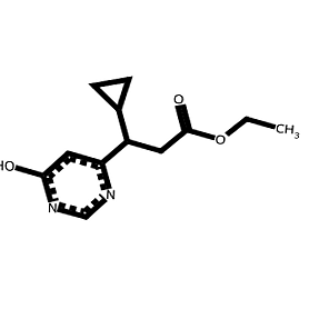 CCOC(=O)CC(c1cc(O)ncn1)C1CC1